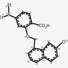 CCN(CC)c1ccc(C(=O)O)c(OCc2cccc3ccc(Cl)cc23)c1